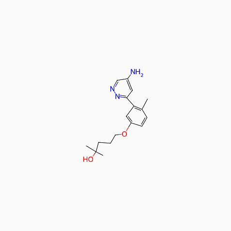 Cc1ccc(OCCCC(C)(C)O)cc1-c1cc(N)cnn1